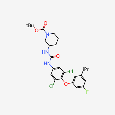 CC(C)c1cc(F)cc(Oc2c(Cl)cc(NC(=O)NC3CCCN(C(=O)OC(C)(C)C)C3)cc2Cl)c1